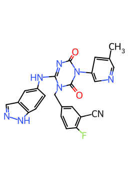 Cc1cncc(-n2c(=O)nc(Nc3ccc4[nH]ncc4c3)n(Cc3ccc(F)c(C#N)c3)c2=O)c1